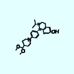 COC(OC)C1CCN(c2ccc([C@H]3c4ccc(O)cc4CC[C@H]3C(C)C)cc2)CC1